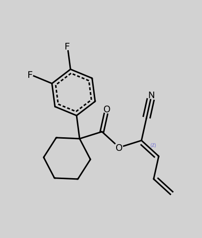 C=C/C=C(/C#N)OC(=O)C1(c2ccc(F)c(F)c2)CCCCC1